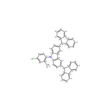 Fc1ccc(-n2c3ccc(C4c5ccccc5-c5ccccc54)cc3c3cc(C4c5ccccc5-c5ccccc54)ccc32)c(C(F)(F)F)c1